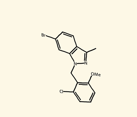 COc1cccc(Cl)c1Cn1nc(C)c2ccc(Br)cc21